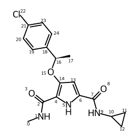 CNC(=O)c1[nH]c(C(=O)NC2CC2)cc1O[C@H](C)c1ccc(Cl)cc1